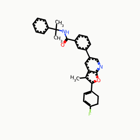 Cc1c(C2=CC=C(F)CC2)oc2ncc(-c3cccc(C(=O)NC(C)(C)c4ccccc4)c3)cc12